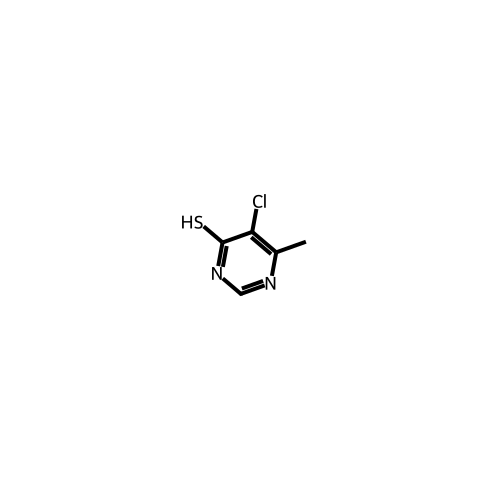 Cc1ncnc(S)c1Cl